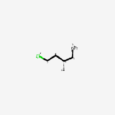 CCCC[C@H](C)CCCl